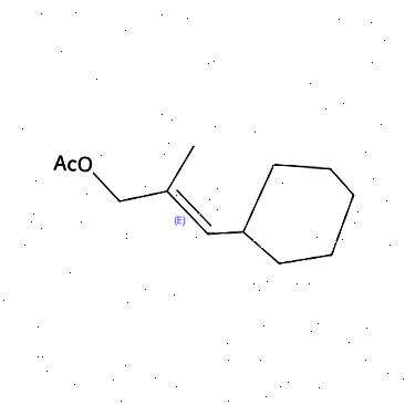 CC(=O)OC/C(C)=C/C1CCCCC1